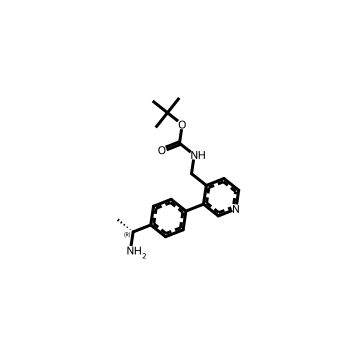 C[C@@H](N)c1ccc(-c2cnccc2CNC(=O)OC(C)(C)C)cc1